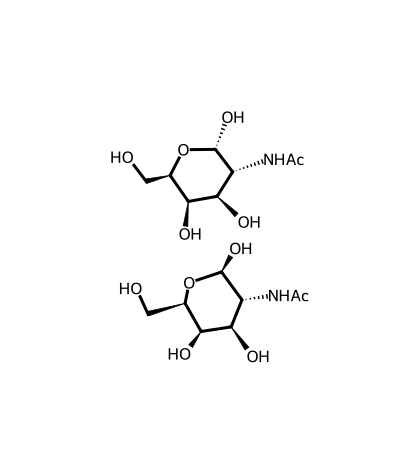 CC(=O)N[C@@H]1[C@@H](O)[C@@H](O)[C@@H](CO)O[C@@H]1O.CC(=O)N[C@@H]1[C@@H](O)[C@@H](O)[C@@H](CO)O[C@H]1O